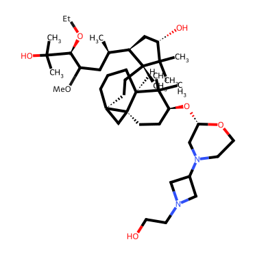 CCO[C@@H](C(C[C@@H](C)[C@H]1C[C@H](O)C(C)(C)[C@]1(C)CC[C@]12CCC[C@H]3C(C)(C)[C@@H](O[C@H]4CN(C5CN(CCO)C5)CCO4)CC[C@@]31C2)OC)C(C)(C)O